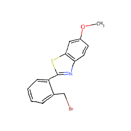 COc1ccc2nc(-c3ccccc3CBr)sc2c1